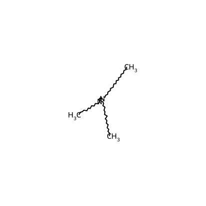 CCCCCCCCCCCCCCCCCCn1cc[n+](CCCCCCCCCCC)c1CCCCCCCCCCCCCCCC